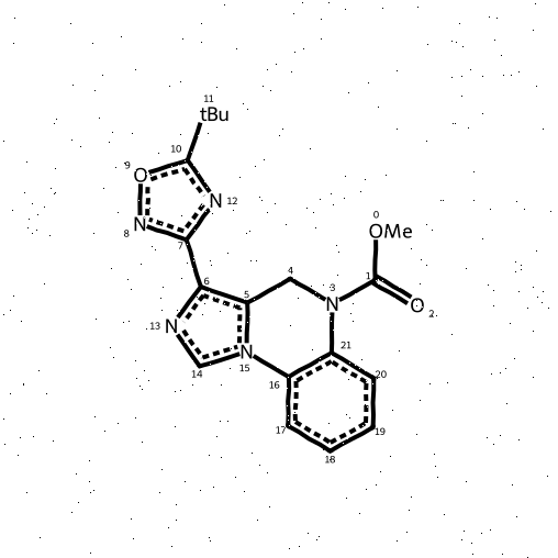 COC(=O)N1Cc2c(-c3noc(C(C)(C)C)n3)ncn2-c2ccccc21